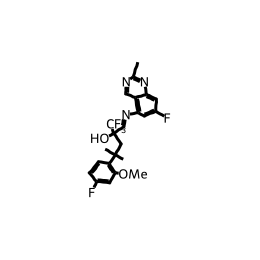 COc1cc(F)ccc1C(C)(C)CC(O)(C=Nc1cc(F)cc2nc(C)ncc12)C(F)(F)F